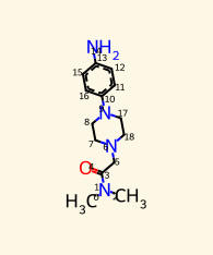 CN(C)C(=O)CN1CCN(c2ccc(N)cc2)CC1